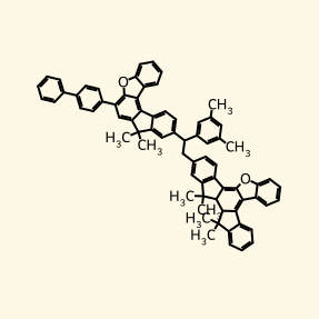 Cc1cc(C)cc(C(Cc2ccc3c(c2)C(C)(C)C2C3=c3oc4ccccc4c3=C3c4ccccc4C(C)(C)C32)c2ccc3c(c2)C(C)(C)c2cc(-c4ccc(-c5ccccc5)cc4)c4oc5ccccc5c4c2-3)c1